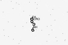 Cc1ccc2ccc(N3CCC(NCc4ccccc4)C3)cc2c1C=O